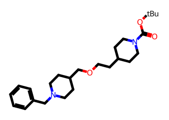 CC(C)(C)OC(=O)N1CCC(CCOCC2CCN(Cc3ccccc3)CC2)CC1